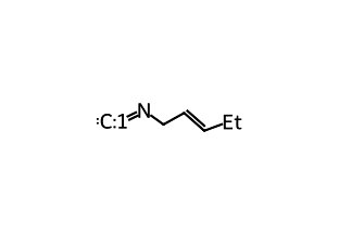 CCC=CCN=[C:1]